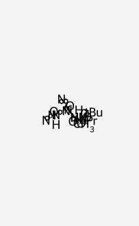 CC(C)[C@H](NC(=O)OC(C)(C)C)C(=O)N[C@@H](C)C(=O)NCCCCN1N=C(c2ccc(NC(=O)N3Cc4ccncc4C3)cc2)CC(c2cccc3ncccc23)C1=O